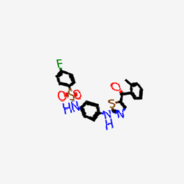 Cc1ccccc1C(=O)c1cnc(Nc2ccc(NS(=O)(=O)c3ccc(F)cc3)cc2)s1